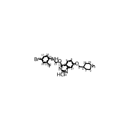 CN1CCC(COc2ccc3c(OCNc4ccc(Br)cc4F)ncnc3c2)CC1.Cl